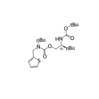 CCCC[C@@H](COC(=O)N(CCCC)Cc1cccs1)NC(=O)OC(C)(C)C